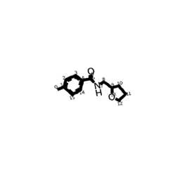 Cc1ccc(C(=O)NCC2CCCO2)cc1